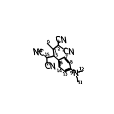 CC(C(C#N)C#N)C(c1ccc(N(C)C)cc1)C(C#N)C#N